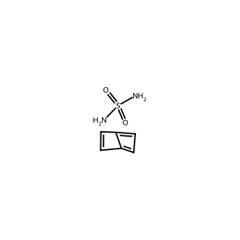 NS(N)(=O)=O.c1cc2ccc1-2